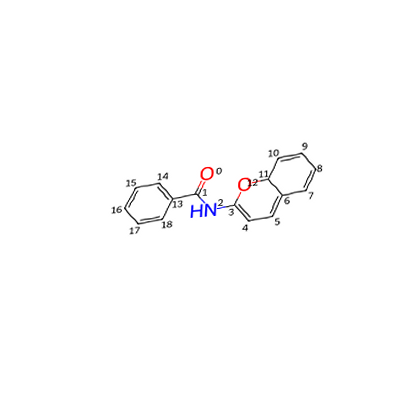 O=C(NC1=CC=C2C=CC=CC2O1)c1ccccc1